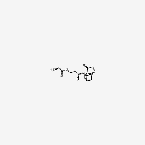 C=CC(=O)OCCC(=O)OC1C2CC3C(=O)OC1C3C2